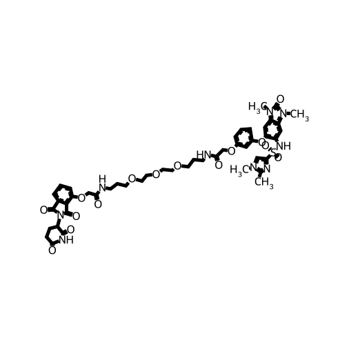 Cc1nc(S(=O)(=O)Nc2cc3c(cc2Oc2cccc(OCC(=O)NCCCOCCOCCOCCCNC(=O)COc4cccc5c4C(=O)N(C4CCC(=O)NC4=O)C5=O)c2)n(C)c(=O)n3C)cn1C